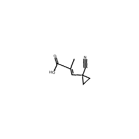 CC(=CC1(C#N)CC1)C(=O)O